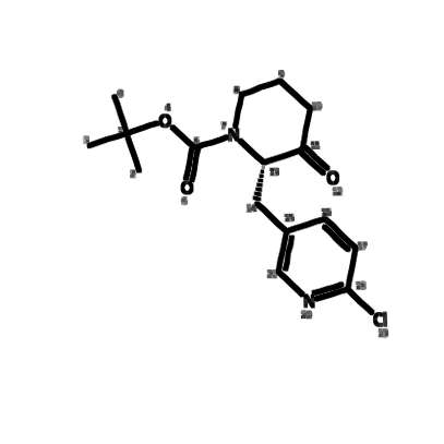 CC(C)(C)OC(=O)N1CCCC(=O)[C@@H]1Cc1ccc(Cl)nc1